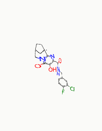 O=C(NCc1ccc(F)c(Cl)c1)c1nc2n(c(=O)c1O)CC1CC[C]2C1